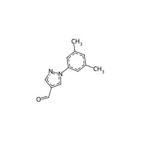 Cc1cc(C)cc(-n2cc(C=O)cn2)c1